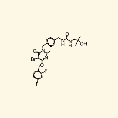 Cc1nc(OCc2ccc(F)cc2F)c(Br)c(=O)n1Cc1ccc(CNC(=O)NCC(C)(C)O)cc1